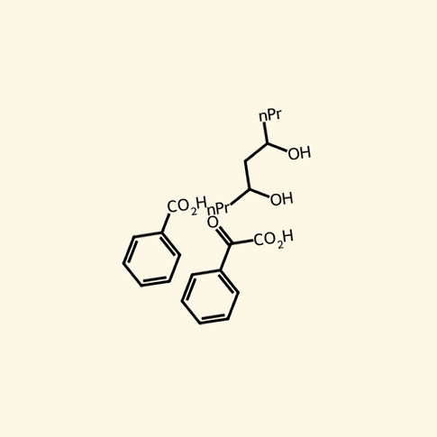 CCCC(O)CC(O)CCC.O=C(O)C(=O)c1ccccc1.O=C(O)c1ccccc1